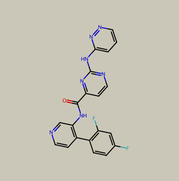 O=C(Nc1cnccc1-c1ccc(F)cc1F)c1ccnc(Nc2cccnn2)n1